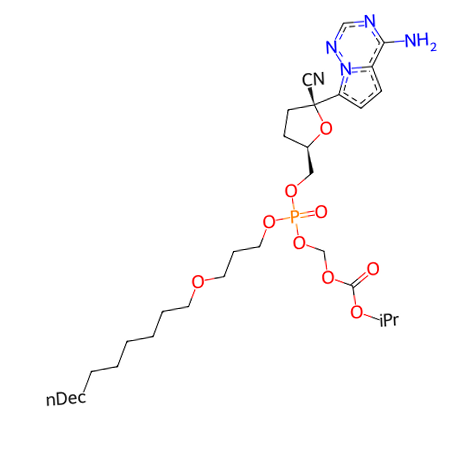 CCCCCCCCCCCCCCCCOCCCOP(=O)(OCOC(=O)OC(C)C)OC[C@H]1CC[C@](C#N)(c2ccc3c(N)ncnn23)O1